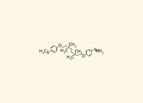 CSc1ccc(OCCC(C)(C)CCC(C)(C)CCOc2ccc(SN)cc2)cc1